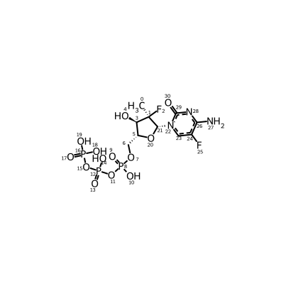 C[C@@]1(F)[C@H](O)[C@@H](COP(=O)(O)OP(=O)(O)OP(=O)(O)O)O[C@H]1n1cc(F)c(N)nc1=O